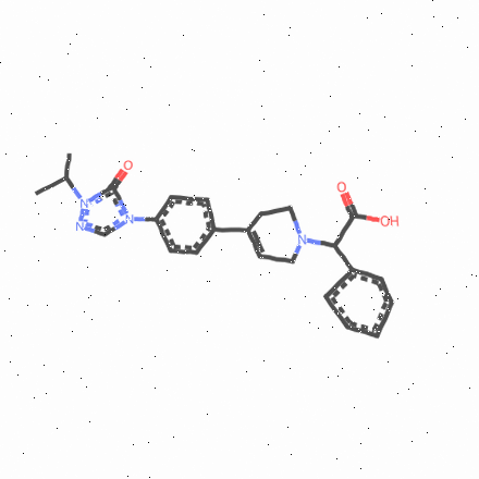 CC(C)n1ncn(-c2ccc(C3=CCN(C(C(=O)O)c4ccccc4)CC3)cc2)c1=O